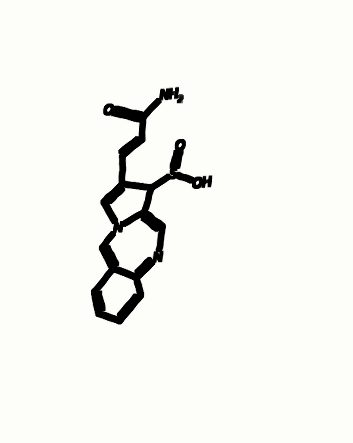 NC(=O)/C=C/C1=CN2C=c3ccccc3=NC=C2C1S(=O)O